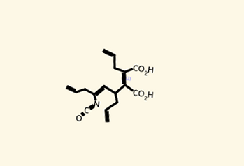 C=CCC(=CC(CC=C)/C(C(=O)O)=C(\CC=C)C(=O)O)N=C=O